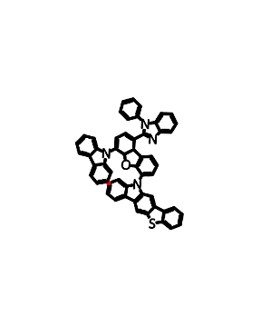 C1=C(c2nc3ccccc3n2-c2ccccc2)C2c3cccc(-n4c5ccccc5c5cc6sc7ccccc7c6cc54)c3OC2C(n2c3ccccc3c3ccccc32)=C1